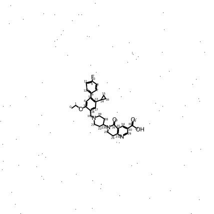 CCOc1cc(-c2ccc(F)cc2)c(C2CC2)cc1CN1CCC(N2CCc3ncc(C(=O)O)cc3C2=O)CC1